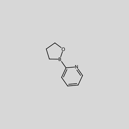 c1ccc(B2CCCO2)nc1